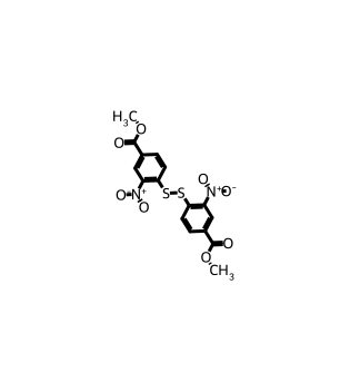 COC(=O)c1ccc(SSc2ccc(C(=O)OC)cc2[N+](=O)[O-])c([N+](=O)[O-])c1